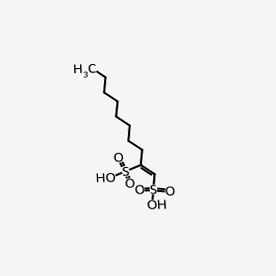 CCCCCCCC/C(=C/S(=O)(=O)O)S(=O)(=O)O